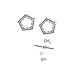 [CH3-].[CH3][Al+][CH3].[Cl-].[Ti+3].c1cc[cH-]c1.c1cc[cH-]c1